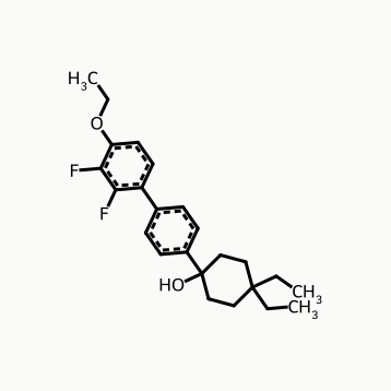 CCOc1ccc(-c2ccc(C3(O)CCC(CC)(CC)CC3)cc2)c(F)c1F